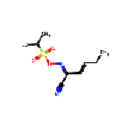 CCC=CC(C#N)=NOS(=O)(=O)C(C)C